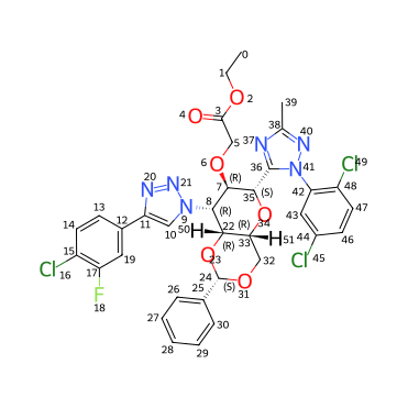 CCOC(=O)CO[C@@H]1[C@@H](n2cc(-c3ccc(Cl)c(F)c3)nn2)[C@H]2O[C@@H](c3ccccc3)OC[C@H]2O[C@H]1c1nc(C)nn1-c1cc(Cl)ccc1Cl